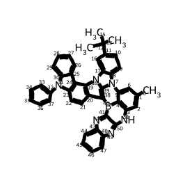 Cc1cc2c3c(c1)-n1c4ccc(C(C)(C)C)cc4n4c5c(ccc6c5c5ccccc5n6-c5ccccc5)c(c14)B3c1nc3ccccc3nc1N2